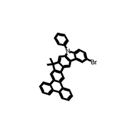 CC1(C)c2cc3c4ccccc4c4ccccc4c3cc2-c2cc3c4cc(Br)ccc4n(-c4ccccc4)c3cc21